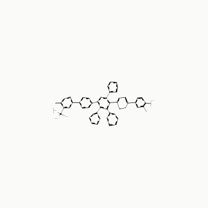 Cc1cc(C2=CC=C(c3c(-c4ccccc4)cc(-c4ccc(-c5ccc(C)c(C(F)(F)F)c5)cc4)c(-c4ccccc4)c3-c3ccccc3)CC2)ccc1F